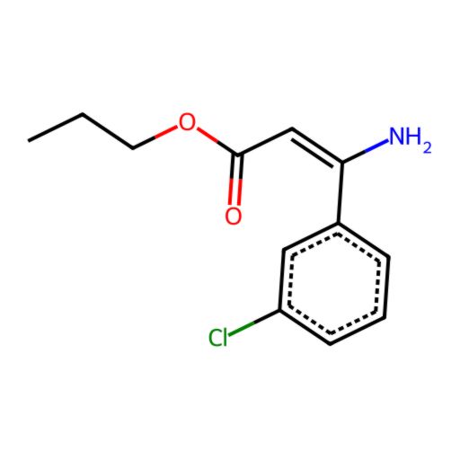 CCCOC(=O)/C=C(/N)c1cccc(Cl)c1